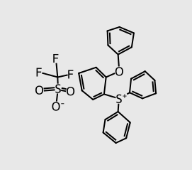 O=S(=O)([O-])C(F)(F)F.c1ccc(Oc2ccccc2[S+](c2ccccc2)c2ccccc2)cc1